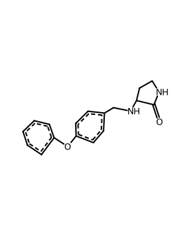 O=C1NCCC1NCc1ccc(Oc2ccccc2)cc1